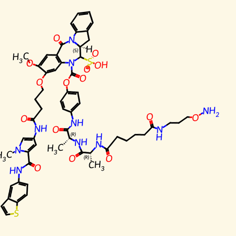 COc1cc2c(cc1OCCCC(=O)Nc1cc(C(=O)Nc3ccc4sccc4c3)n(C)c1)N(C(=O)Oc1ccc(NC(=O)[C@@H](C)NC(=O)[C@@H](C)NC(=O)CCCCC(=O)NCCCON)cc1)C(S(=O)(=O)O)[C@@H]1Cc3ccccc3N1C2=O